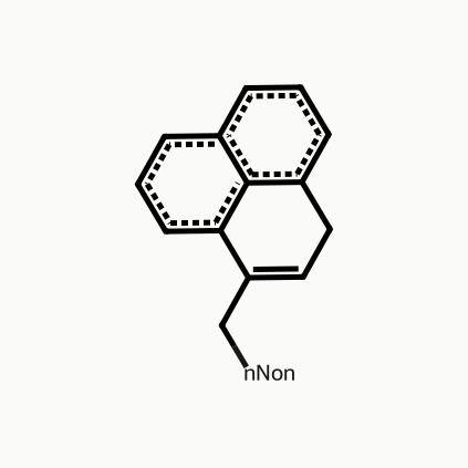 CCCCCCCCCCC1=CCc2cccc3cccc1c23